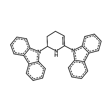 C1=C(n2c3ccccc3c3ccccc32)NC(n2c3ccccc3c3ccccc32)CC1